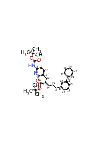 CC(C)(C)OC(=O)Nc1ccc(C/C(=C\CCc2cccc(-c3ccccc3)c2)C(=O)OC(C)(C)C)cn1